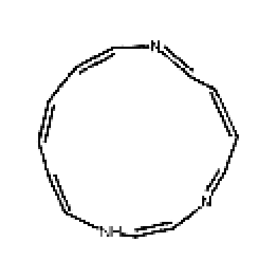 C1=CC=CNC=CN=CC=CC=NC=C1